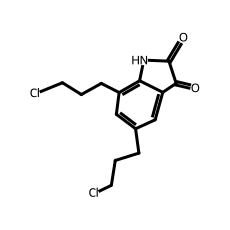 O=C1Nc2c(CCCCl)cc(CCCCl)cc2C1=O